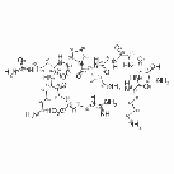 C[C@H](NC(=O)[C@@H](NC(=O)[C@@H](N)CCCCN)[C@@H](O)CN)C(=O)NCC(=O)N[C@H](CCCN)C(=O)N1CCC[C@H]1C(=O)N[C@@H](CCCNC(N)=O)C(=O)N[C@@H](CCCCN)C(=O)CC/C(=C\CCNC(=N)N)C(=O)O